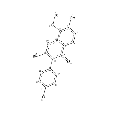 CC(C)Oc1c(O)ccc2c(=O)c(-c3ccc(Cl)cc3)c(C(C)C)oc12